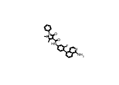 Cc1c(C(=O)Nc2ccc(-c3cccc4c(N)nccc34)c(F)c2)c(=O)n(-c2ccccc2)n1C